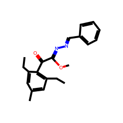 CCc1cc(C)cc(CC)c1C(=O)/C(=N/N=C/c1ccccc1)OC